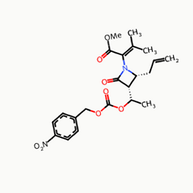 C=CC[C@@H]1[C@H](C(C)OC(=O)OCc2ccc([N+](=O)[O-])cc2)C(=O)N1C(C(=O)OC)=C(C)C